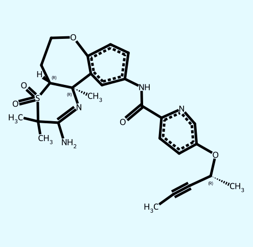 CC#C[C@@H](C)Oc1ccc(C(=O)Nc2ccc3c(c2)[C@@]2(C)N=C(N)C(C)(C)S(=O)(=O)[C@@H]2CCO3)nc1